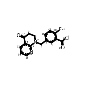 O=C(Cl)c1cc(CN2CCC(=O)c3cccnc32)ccc1F